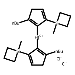 CCCCC1=[C]([Hf+2][C]2=C(CCCC)CC=C2[Si]2(C)CCC2)C([Si]2(C)CCC2)=CC1.[Cl-].[Cl-]